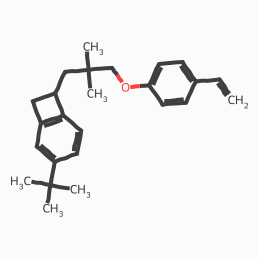 C=Cc1ccc(OCC(C)(C)CC2Cc3cc(C(C)(C)C)ccc32)cc1